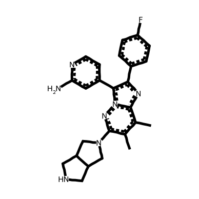 Cc1c(N2CC3CNCC3C2)nn2c(-c3ccnc(N)c3)c(-c3ccc(F)cc3)nc2c1C